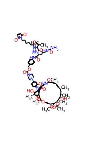 CO[C@H]1/C=C/O[C@@]2(C)Oc3c(C)c(O)c4c(=O)c(c5oc6cc(N7CCN(C(=O)OCc8ccc(NC(=O)[C@H](CCCNC(N)=O)NC(=O)C(NC(=O)CCCCCN9C(=O)C=CC9=O)C(C)C)cc8)CC7)ccc6nc-5c4c3C2=O)NC(=O)/C(C)=C\C=C\[C@H](C)C[C@@H](C)[C@@H](O)[C@@H](C)[C@H](OC(C)=O)[C@@H]1C